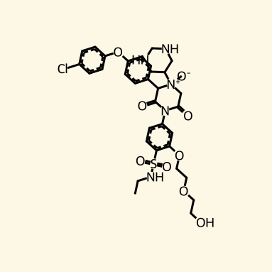 CCNS(=O)(=O)c1ccc(N2C(=O)C[N+]([O-])(C3CNCNC3)C(c3ccc(Oc4ccc(Cl)cc4)cc3)C2=O)cc1OCCOCCO